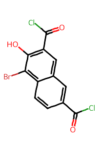 O=C(Cl)c1ccc2c(Br)c(O)c(C(=O)Cl)cc2c1